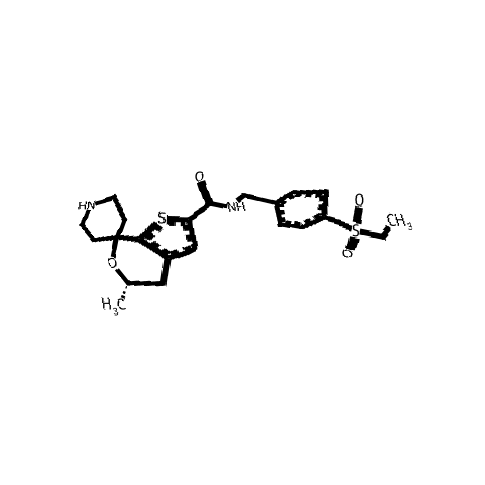 CCS(=O)(=O)c1ccc(CNC(=O)c2cc3c(s2)C2(CCNCC2)O[C@@H](C)C3)cc1